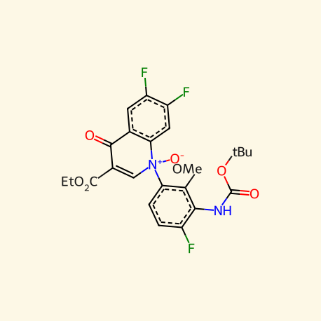 CCOC(=O)C1=C[N+]([O-])(c2ccc(F)c(NC(=O)OC(C)(C)C)c2OC)c2cc(F)c(F)cc2C1=O